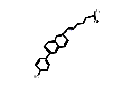 CC(O)CCC/C=C/c1ccc2cc(-c3ccc(O)cc3)ccc2c1